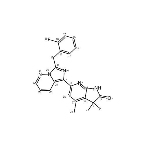 CC1(C)C(=O)Nc2nc(-c3nc(Cc4ccccc4F)n4ncccc34)nc(I)c21